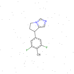 N#Cc1c(F)cc(C2CCn3cncc32)cc1F